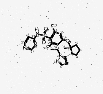 CCn1nccc1[C@H]1CCC[C@@]1(C)Oc1cc(F)c(S(=O)(=O)Nc2ccncn2)c(F)c1